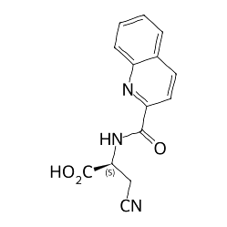 N#CC[C@H](NC(=O)c1ccc2ccccc2n1)C(=O)O